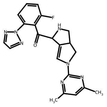 Cc1cc(C)nc(N2C=C3C(CNC3C(=O)c3c(F)cccc3-n3nccn3)C2)n1